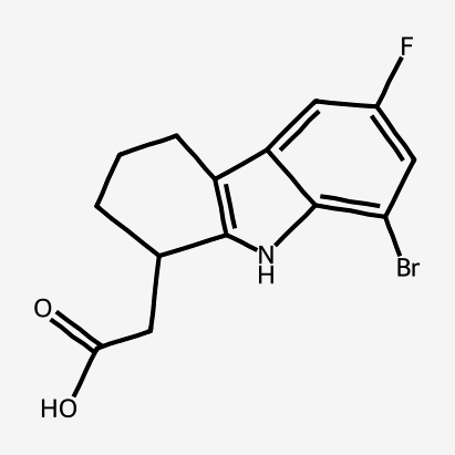 O=C(O)CC1CCCc2c1[nH]c1c(Br)cc(F)cc21